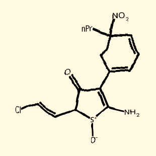 CCCC1([N+](=O)[O-])C=CC=C(C2=C(N)[S+]([O-])C(C=CCl)C2=O)C1